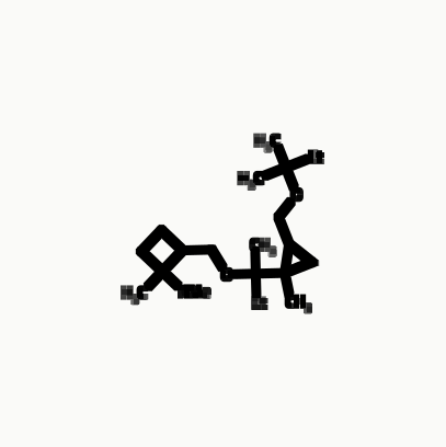 CCC(C)(C)OCC1CC1(C)C(C)(CC)OCC1CCC1(C)NC